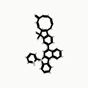 C=C1/C=C\C=C/CC2=C(/C=C\1)C(C)(C)c1cc(-c3cc4c(c5ccccc35)c3ccccc3n4-c3ccccn3)ccc12